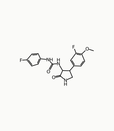 COc1ccc(C2CNC(=O)C2NC(=O)Nc2ccc(F)cc2)cc1F